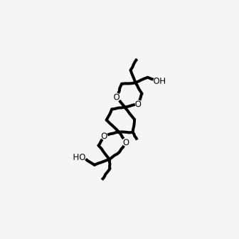 CCC1(CO)COC2(CCC3(OCC(CC)(CO)CO3)C(C)C2)OC1